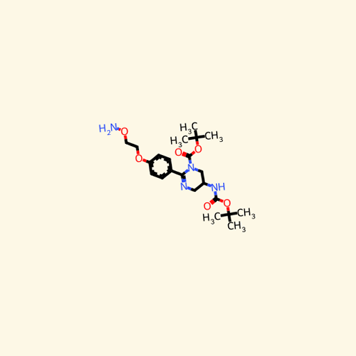 CC(C)(C)OC(=O)NC1CN=C(c2ccc(OCCON)cc2)N(C(=O)OC(C)(C)C)C1